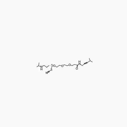 CC(C)C#CCNC(=O)CCOCCOCCO[C@@H](CCCNC(C)C)SC#N